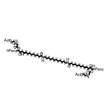 CCCCCC(OC(=O)C[N+](C)(C)CCOC(C)=O)C(O)CC=CCCCCCCCC(=O)NCCCCCCCCCCCCNC(=O)CCCCCCCC=CCC(O)C(CCCCC)OC(=O)C[N+](C)(C)CCOC(C)=O